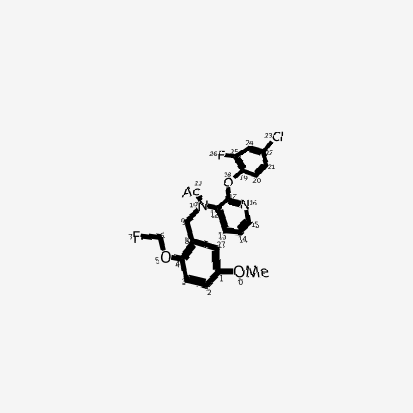 COc1ccc(OCF)c(CN(C(C)=O)c2cccnc2Oc2ccc(Cl)cc2F)c1